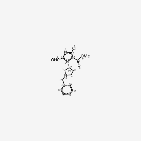 COC(=O)c1c(Cl)nc(C=O)n1[C@@H]1CCN(Cc2ccccc2)C1